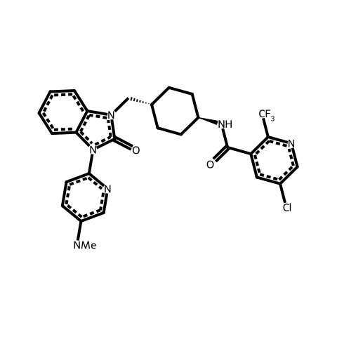 CNc1ccc(-n2c(=O)n(C[C@H]3CC[C@H](NC(=O)c4cc(Cl)cnc4C(F)(F)F)CC3)c3ccccc32)nc1